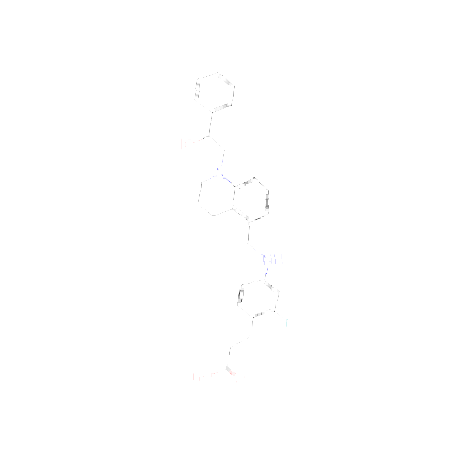 O=C(O)CCc1ccc(NCc2cccc3c2CCCN3CC(O)c2ccccc2)cc1F